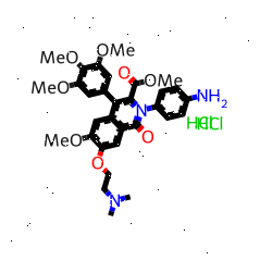 COC(=O)c1c(-c2cc(OC)c(OC)c(OC)c2)c2cc(OC)c(OCCN(C)C)cc2c(=O)n1-c1ccc(N)cc1.Cl.Cl